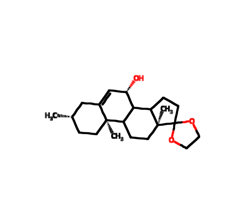 C[C@H]1CC[C@@]2(C)C(=C[C@H](O)C3C2CC[C@@]2(C)C3CCC23OCCO3)C1